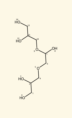 OCC(O)COCC(O)OCC(O)CO